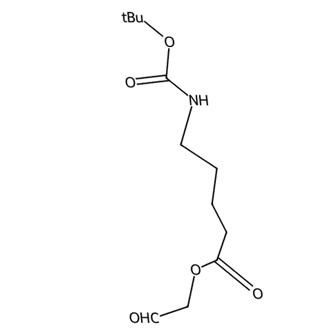 CC(C)(C)OC(=O)NCCCCC(=O)OCC=O